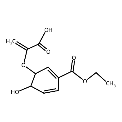 C=C(OC1C=C(C(=O)OCC)C=CC1O)C(=O)O